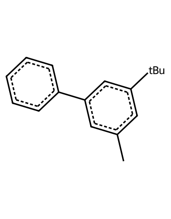 Cc1cc(-c2ccccc2)cc(C(C)(C)C)c1